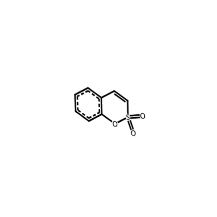 O=S1(=O)C=Cc2ccccc2O1